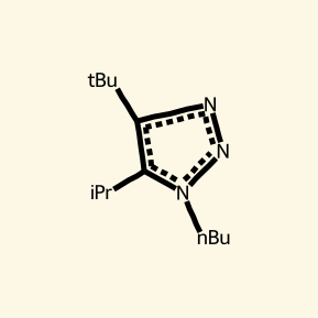 CCCCn1nnc(C(C)(C)C)c1C(C)C